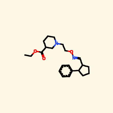 CCOC(=O)C1CCCN(CCON=CC2CCCC2c2ccccc2)C1